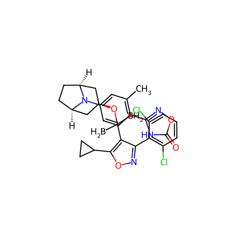 BC(B)(O[C@H]1C[C@H]2CC[C@@H](C1)N2c1ccc(-c2noc(=O)[nH]2)c(C)c1)c1c(-c2c(Cl)cccc2Cl)noc1C1CC1